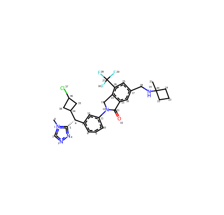 Cn1cnnc1[C@@H](c1cccc(N2Cc3c(cc(CNC4(C)CCC4)cc3C(F)(F)F)C2=O)c1)C1CC(Cl)C1